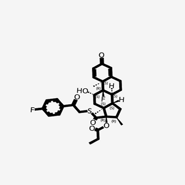 CCC(=O)O[C@]1(C(=O)SCC(=O)c2ccc(F)cc2)[C@H](C)C[C@H]2[C@@H]3CCC4=CC(=O)C=C[C@]4(C)[C@@]3(F)[C@@H](O)C[C@@]21C